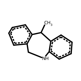 CC1c2ccccc2CNc2ccccc21